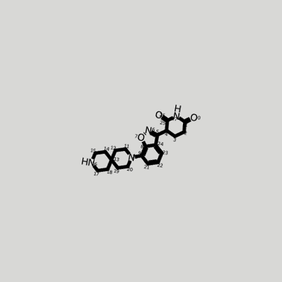 O=C1CCC(c2noc3c(N4CCC5(CCNCC5)CC4)cccc23)C(=O)N1